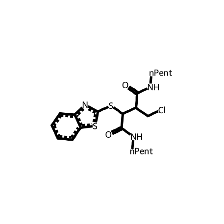 CCCCCNC(=O)C(CCl)C(Sc1nc2ccccc2s1)C(=O)NCCCCC